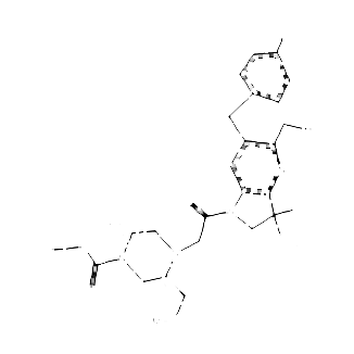 COC[C@H]1CN(C(=O)OC(C)(C)C)[C@H](C)CN1CC(=O)N1CC(C)(C)c2nc(CCl)c(Cc3ccc(F)cc3)cc21